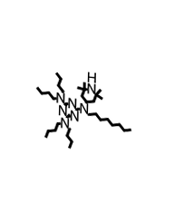 CCCCCCCCN(c1nc(N(CCCC)CCCC)nc(N(CCCC)CCCC)n1)C1CC(C)(C)NC(C)(C)C1